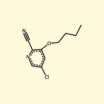 CCCCOc1cc(Cl)cnc1C#N